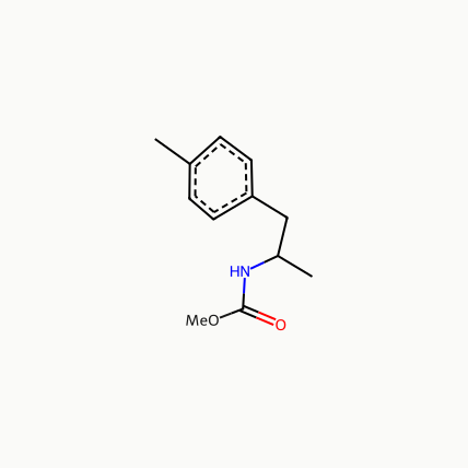 COC(=O)NC(C)Cc1ccc(C)cc1